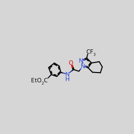 CCOC(=O)c1cccc(NC(=O)Cn2nc(C(F)(F)F)c3c2CCCC3)c1